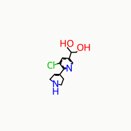 OCC(CO)c1cnc(C2=CCNCC2)c(Cl)c1